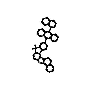 CC1(C)c2cc(-c3c4ccccc4c(-c4cccc5ccccc45)c4ccccc34)ccc2-c2c1ccc1sc3c4ccccc4ccc3c21